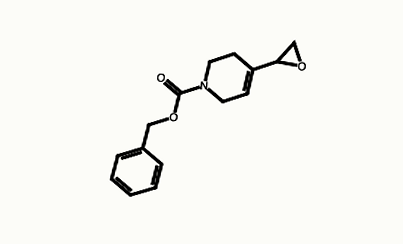 O=C(OCc1ccccc1)N1CC=C(C2CO2)CC1